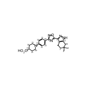 CC1(C)CCc2c(-c3nc(-c4ccc(N5CCC(C(=O)O)CC5)cc4)no3)n[nH]c2C1